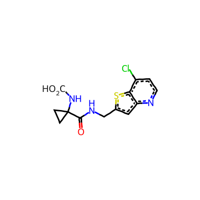 O=C(O)NC1(C(=O)NCc2cc3nccc(Cl)c3s2)CC1